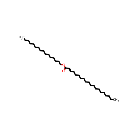 CCCCCCCCCCCCCCCCCC=CC(=O)OCCCCCCCCCCCCCCCC